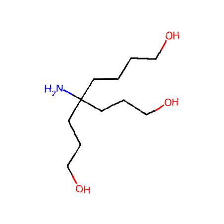 NC(CCCO)(CCCO)CCCCO